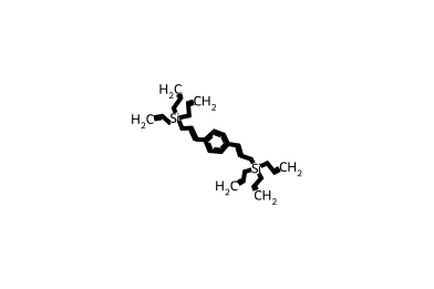 C=CC[Si](CC=C)(CC=C)CC=Cc1ccc(C=CC[Si](CC=C)(CC=C)CC=C)cc1